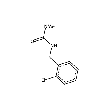 CNC(=O)NCc1ccccc1Cl